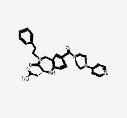 O=C(O)C[C@H]1Nc2ccc(C(=O)N3CCN(c4ccncc4)CC3)cc2CN(CCc2ccccc2)C1=O